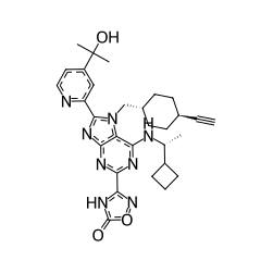 C#C[C@H]1CC[C@H](Cn2c(-c3cc(C(C)(C)O)ccn3)nc3nc(-c4noc(=O)[nH]4)nc(N[C@H](C)C4CCC4)c32)CC1